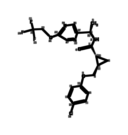 C[C@@H](NC(=O)[C@@H]1C[C@H]1COc1ccc(Cl)cc1)c1cnc(OCC(F)(F)F)cn1